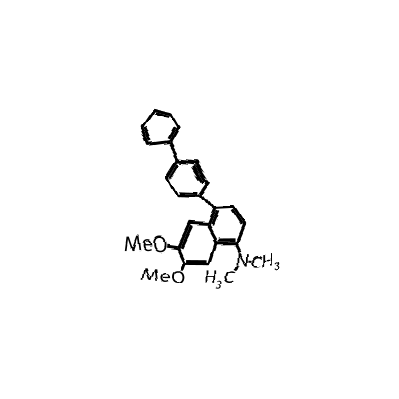 COc1cc2c(-c3ccc(-c4ccccc4)cc3)ccc(N(C)C)c2cc1OC